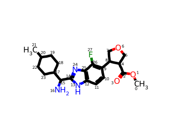 COC(=O)C1COCC1c1ccc2[nH]c(C(N)C3CCC(C)CC3)nc2c1F